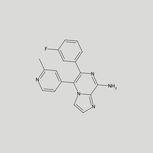 Cc1cc(-c2c(-c3cccc(F)c3)nc(N)c3nccn23)ccn1